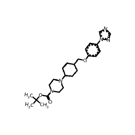 CC(C)(C)OC(=O)N1CCN(C2CCC(COc3ccc(-n4cncn4)cc3)CC2)CC1